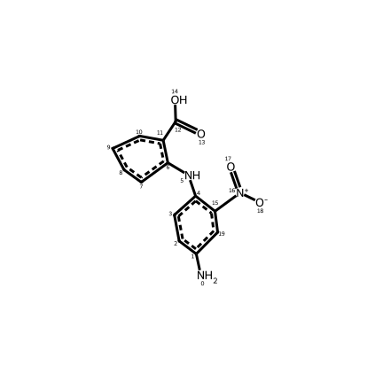 Nc1ccc(Nc2ccccc2C(=O)O)c([N+](=O)[O-])c1